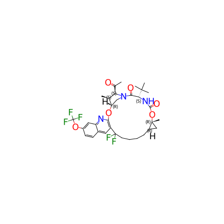 CC(=O)[C@@H]1[C@H](C)[C@@H]2CN1C(=O)[C@H](C(C)(C)C)NC(=O)O[C@]1(C)C[C@H]1CCCCC(F)(F)c1cc3ccc(OC(F)(F)F)cc3nc1O2